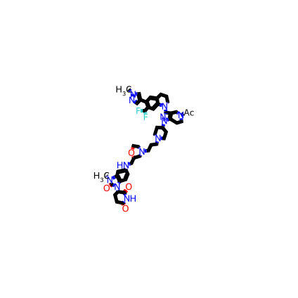 CC(=O)N1CCc2c(c(N3CCCc4cc(-c5cnn(C)c5)c(C(F)F)cc43)nn2C2CCN(CCCN3CCOC(CNc4ccc5c(c4)n(C)c(=O)n5C4CCC(=O)NC4=O)C3)CC2)C1